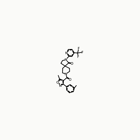 Cc1cccc(-c2noc(C)c2C(=O)N2CCC3(CC2)CCN(c2cc(C(F)(F)F)ccn2)C3=O)c1